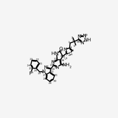 CC(C)(Cc1csc([C@]2(C)C(=O)Nc3nc(-c4nn(Cc5ccccc5F)c5ccccc45)nc(N)c32)n1)c1nn[nH]n1